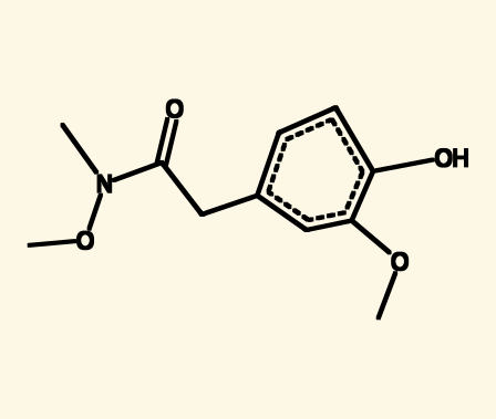 COc1cc(CC(=O)N(C)OC)ccc1O